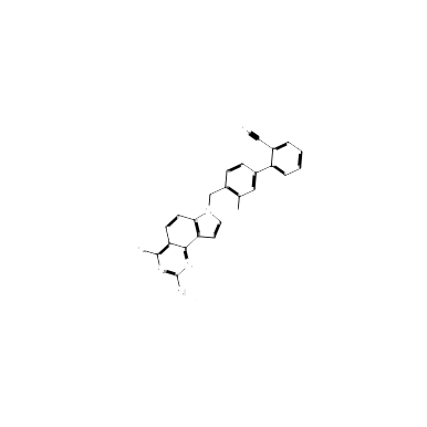 N#Cc1ccccc1-c1ccc(Cn2ccc3c4nc(N)nc(N)c4ccc32)c(F)c1